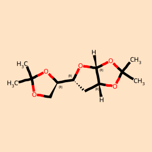 CC1(C)O[C@H]2O[C@@H]([C@H]3COC(C)(C)O3)C[C@H]2O1